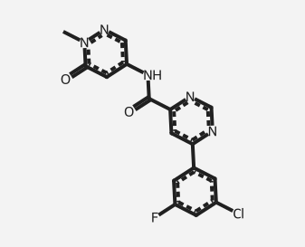 Cn1ncc(NC(=O)c2cc(-c3cc(F)cc(Cl)c3)ncn2)cc1=O